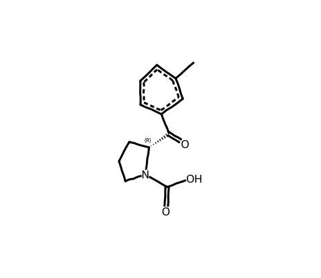 Cc1cccc(C(=O)[C@H]2CCCN2C(=O)O)c1